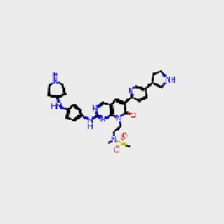 CN(CCn1c(=O)c(-c2ccc(C3CCNC3)cn2)cc2cnc(Nc3ccc(NC4CCNCC4)cc3)nc21)S(C)(=O)=O